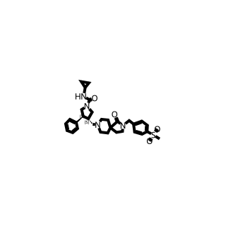 CS(=O)(=O)c1ccc(CN2CCC3(CCN(C[C@H]4CN(C(=O)NC5CC5)C[C@@H]4c4ccccc4)CC3)C2=O)cc1